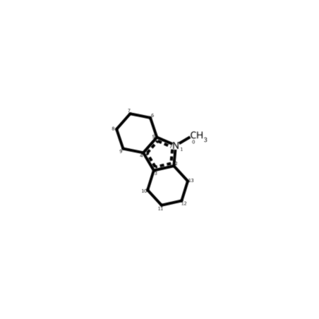 Cn1c2c(c3c1CCCC3)CCCC2